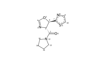 O=C([C@@H]1N=CO[C@H]1c1nccs1)N1CCCC1